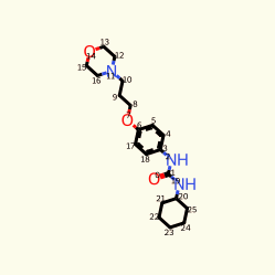 O=C(Nc1ccc(OCCCN2CCOCC2)cc1)NC1CCCCC1